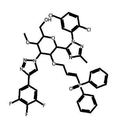 COC1C(CO)OC(c2nc(C)nn2-c2cc(Cl)ccc2Cl)C(OC/C=C/P(=O)(c2ccccc2)c2ccccc2)C1n1cc(-c2cc(F)c(F)c(F)c2)nn1